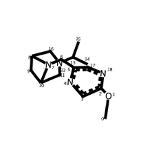 COc1cnc(CN2C3CC2CN(C(C)C)C3)cn1